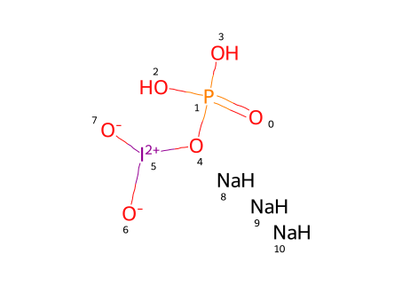 O=P(O)(O)O[I+2]([O-])[O-].[NaH].[NaH].[NaH]